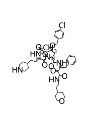 CS(=O)(=O)N[C@H](CCC1CCNCC1)C(=O)N1C[C@H](OCc2ccc(Cl)cc2)C[C@H]1C(=O)N[C@@H](Cc1ccccc1)C(=O)C(=O)NCCC1CCOCC1